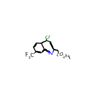 O=C(O)Cc1cc(Cl)c2ccc(C(F)(F)F)cc2n1